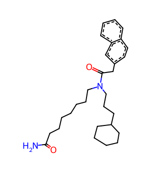 NC(=O)CCCCCCCN(CCCC1CCCCC1)C(=O)Cc1ccc2ccccc2c1